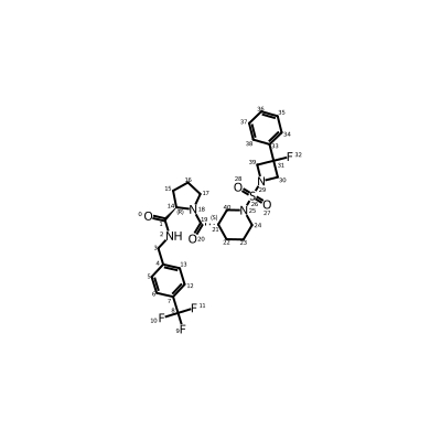 O=C(NCc1ccc(C(F)(F)F)cc1)[C@H]1CCCN1C(=O)[C@H]1CCCN(S(=O)(=O)N2CC(F)(c3ccccc3)C2)C1